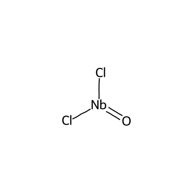 [O]=[Nb]([Cl])[Cl]